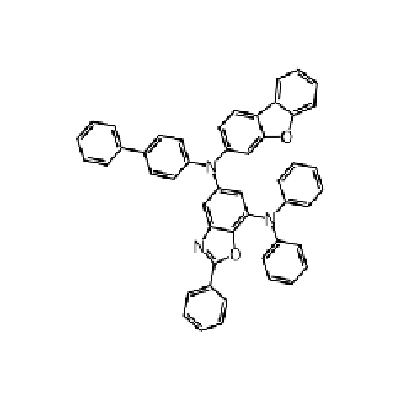 c1ccc(-c2ccc(N(c3cc(N(c4ccccc4)c4ccccc4)c4oc(-c5ccccc5)nc4c3)c3ccc4c(c3)oc3ccccc34)cc2)cc1